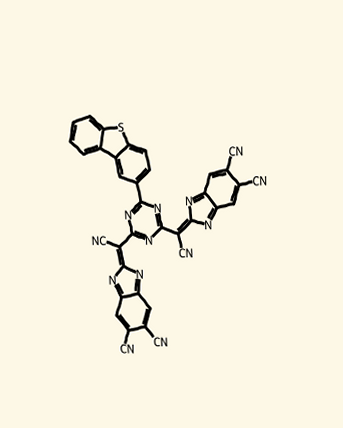 N#CC(=C1N=c2cc(C#N)c(C#N)cc2=N1)c1nc(C(C#N)=C2N=c3cc(C#N)c(C#N)cc3=N2)nc(-c2ccc3sc4ccccc4c3c2)n1